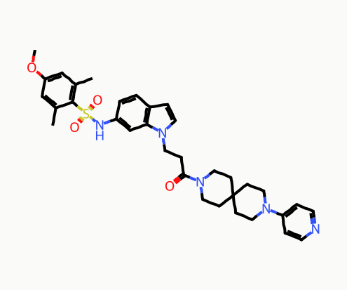 COc1cc(C)c(S(=O)(=O)Nc2ccc3ccn(CCC(=O)N4CCC5(CC4)CCN(c4ccncc4)CC5)c3c2)c(C)c1